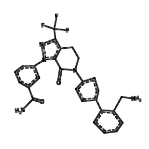 NCc1ccccc1-c1ccc(N2CCc3c(C(F)(F)F)nn(-c4cccc(C(N)=O)c4)c3C2=O)cc1